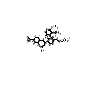 Nc1nccc(C2(F)C(=O)C(C3CNOc4cc(C5CC5)ccc4C3)=CC=C2CCC(=O)O)c1N